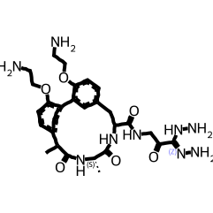 CC1C(=O)N[C@@H](C)C(=O)NC(C(=O)NCC(=O)/C(=N/N)NN)Cc2ccc(OCCN)c(c2)-c2cc1ccc2OCCN